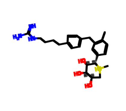 Cc1ccc([C@H]2[C@H](O)[C@H](O)[C@H](O)C[SH]2C)cc1Cc1ccc(CCCCNC(=N)N)cc1